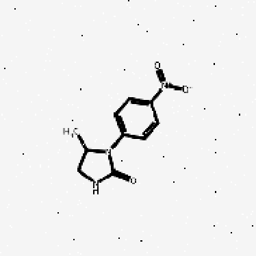 CC1CNC(=O)N1c1ccc([N+](=O)[O-])cc1